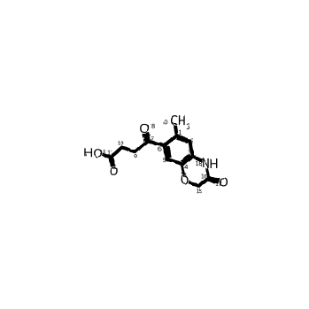 Cc1cc2c(cc1C(=O)CCC(=O)O)OCC(=O)N2